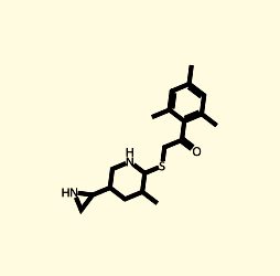 Cc1cc(C)c(C(=O)CSC2NCC(C3CN3)CC2C)c(C)c1